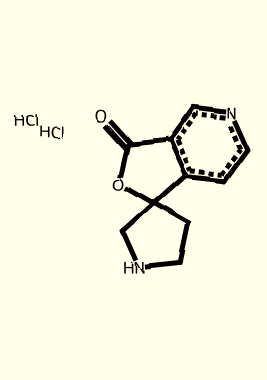 Cl.Cl.O=C1OC2(CCNC2)c2ccncc21